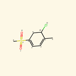 CC1=CC=C(S(C)(=O)=O)CC1Cl